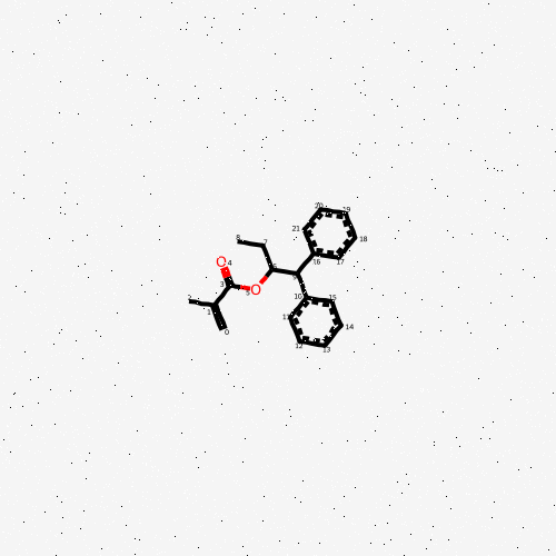 C=C(C)C(=O)OC(CC)C(c1ccccc1)c1ccccc1